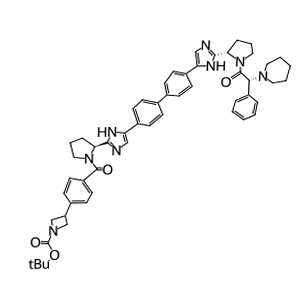 CC(C)(C)OC(=O)N1CC(c2ccc(C(=O)N3CCC[C@H]3c3ncc(-c4ccc(-c5ccc(-c6cnc([C@@H]7CCCN7C(=O)[C@@H](c7ccccc7)N7CCCCC7)[nH]6)cc5)cc4)[nH]3)cc2)C1